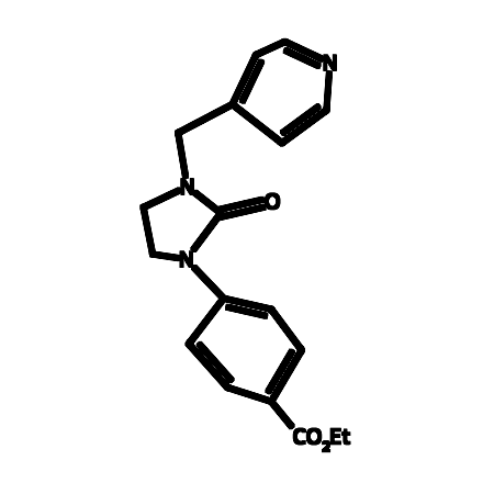 CCOC(=O)c1ccc(N2CCN(Cc3ccncc3)C2=O)cc1